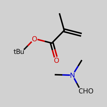 C=C(C)C(=O)OC(C)(C)C.CN(C)C=O